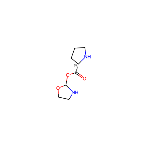 O=C(OC1NCCO1)[C@@H]1CCCN1